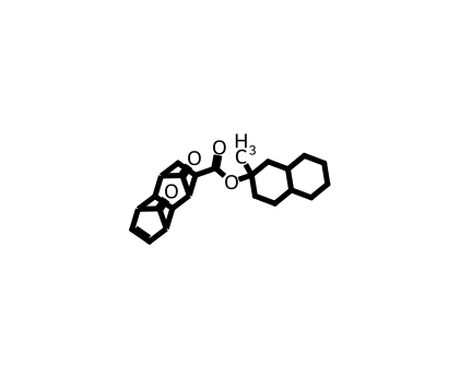 CC1(OC(=O)C2CC3C(=O)C2C2C4C=CC(C4=O)C32)CCC2CCCCC2C1